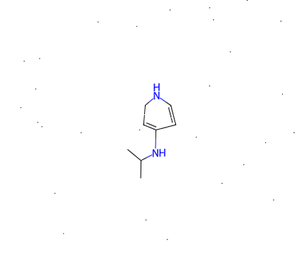 CC(C)NC1=CCNC=C1